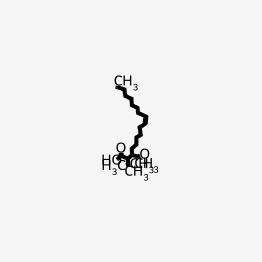 CCCCCCCC/C=C\CCCCCC(C(C)=O)C(C(=O)O)C(C)(C)C